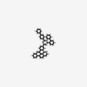 c1ccc(-c2ccc(-c3nc(-c4ccc(-c5cc6ccccc6c6ccc7ccncc7c56)cc4)nc(-c4ccccc4-c4ccccc4)n3)cc2)cc1